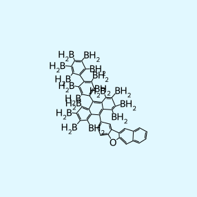 Bc1c(B)c(B)c(-c2c(B)c(B)c(-c3c4c(B)c(B)c(B)c(B)c4c(-c4ccc5oc6cc7ccccc7cc6c5c4)c4c(B)c(B)c(B)c(B)c34)c(B)c2B)c(B)c1B